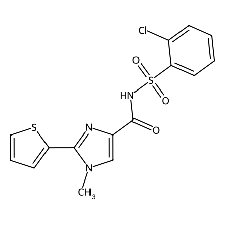 Cn1cc(C(=O)NS(=O)(=O)c2ccccc2Cl)nc1-c1cccs1